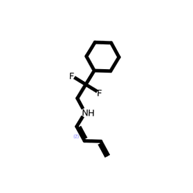 C=C/C=C\NCC(F)(F)C1CCCCC1